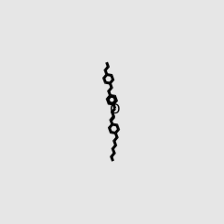 CCCCCCCC1CCC(/C=C/COc2ccc(CCC3CCC(CCC)CC3)cc2)CC1